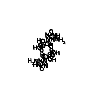 Nc1nc2c(ncn2[C@@H]2O[C@@H]3COP(=O)(O)OC4[C@@H](COP(=O)(O)O[C@@H]3C2O)O[C@@H](n2cnc3c(=O)[nH]c(N)nc32)[C@H]4O)c(=O)[nH]1